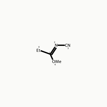 CCC(=NC#N)OC